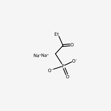 CCC(=O)CP(=O)([O-])[O-].[Na+].[Na+]